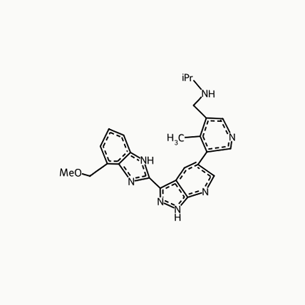 COCc1cccc2[nH]c(-c3n[nH]c4ncc(-c5cncc(CNC(C)C)c5C)cc34)nc12